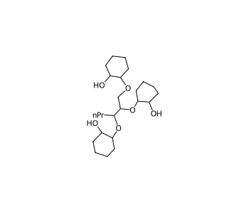 CCCC(OC1CCCCC1O)C(COC1CCCCC1O)OC1CCCCC1O